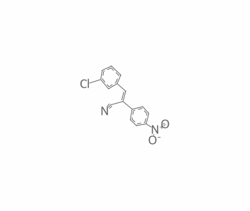 N#CC(=Cc1cccc(Cl)c1)c1ccc([N+](=O)[O-])cc1